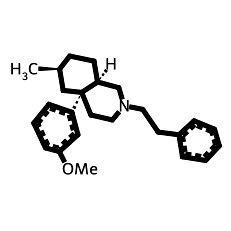 COc1cccc([C@@]23CCN(CCc4ccccc4)C[C@@H]2CC[C@H](C)C3)c1